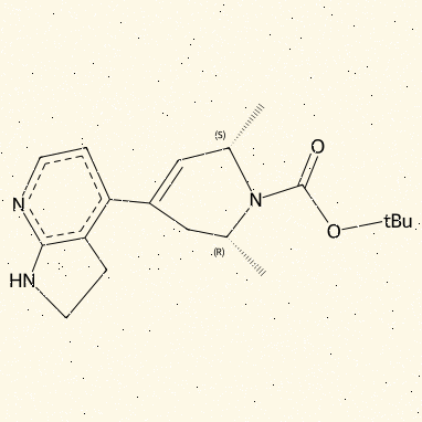 C[C@@H]1CC(c2ccnc3c2CCN3)=C[C@H](C)N1C(=O)OC(C)(C)C